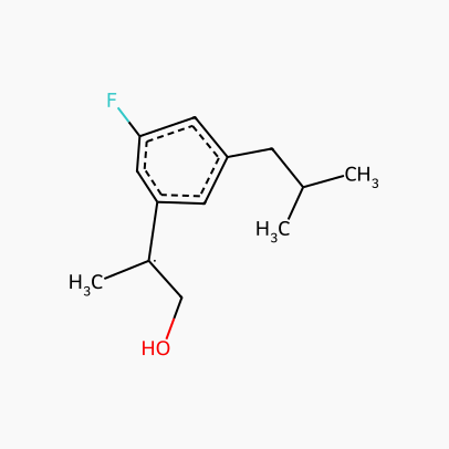 C[C](CO)c1cc(F)cc(CC(C)C)c1